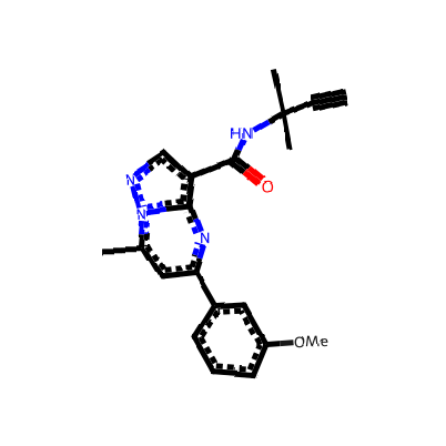 C#CC(C)(C)NC(=O)c1cnn2c(C)cc(-c3cccc(OC)c3)nc12